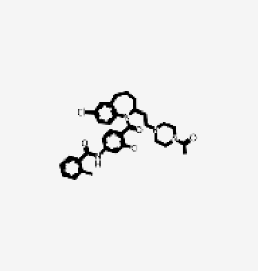 CC(=O)N1CCN(CCC2CCCc3cc(Cl)ccc3N2C(=O)c2ccc(NC(=O)c3ccccc3C)cc2Cl)CC1